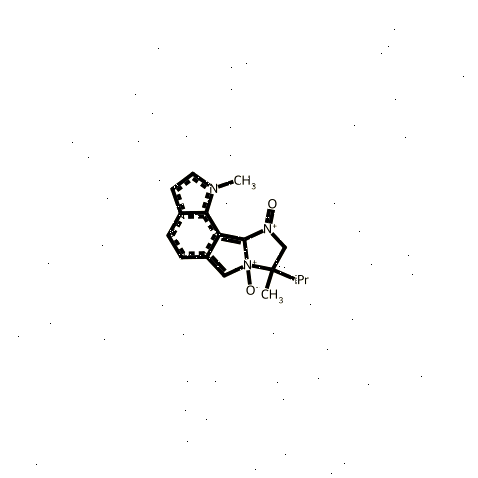 CC(C)C1(C)C[N+](=O)C2=c3c(ccc4ccn(C)c34)=C[N+]21[O-]